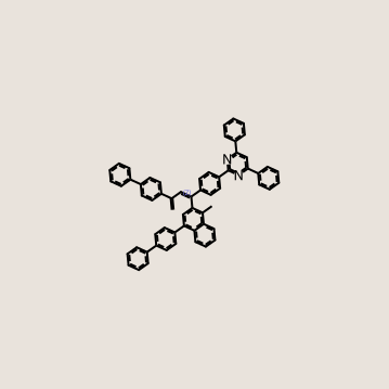 C=C(/C=C(/c1ccc(-c2nc(-c3ccccc3)cc(-c3ccccc3)n2)cc1)c1cc(-c2ccc(-c3ccccc3)cc2)c2ccccc2c1C)c1ccc(-c2ccccc2)cc1